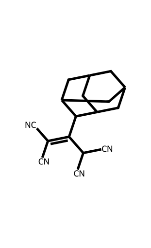 N#CC(C#N)=C(C(C#N)C#N)C1C2CC3CC(C2)CC1C3